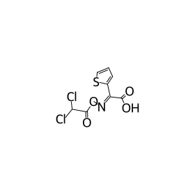 O=C(O)/C(=N/OC(=O)C(Cl)Cl)c1cccs1